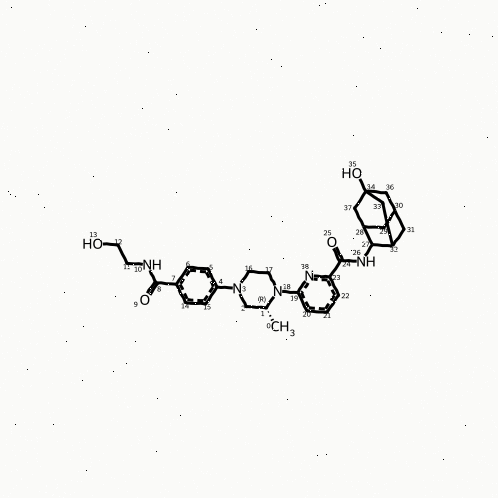 C[C@@H]1CN(c2ccc(C(=O)NCCO)cc2)CCN1c1cccc(C(=O)NC2C3CC4CC2CC(O)(C4)C3)n1